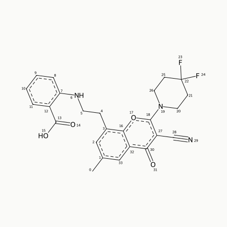 Cc1cc(CCNc2ccccc2C(=O)O)c2oc(N3CCC(F)(F)CC3)c(C#N)c(=O)c2c1